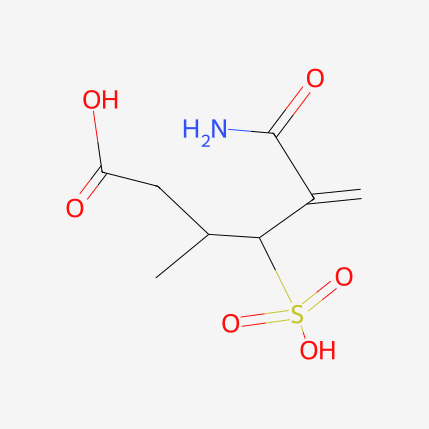 C=C(C(N)=O)C(C(C)CC(=O)O)S(=O)(=O)O